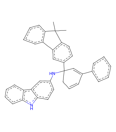 CC1(C)c2ccccc2-c2cc(C3(Nc4ccc5[nH]c6ccccc6c5c4)C=C(c4ccccc4)C=CC3)ccc21